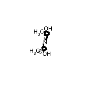 COc1cc(/C=N/N=C/c2ccc(O)c(C)c2)ccc1O